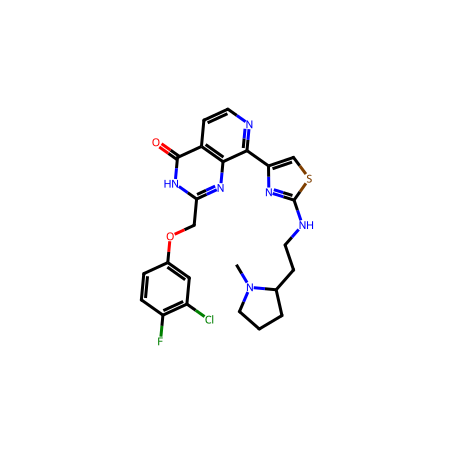 CN1CCCC1CCNc1nc(-c2nccc3c(=O)[nH]c(COc4ccc(F)c(Cl)c4)nc23)cs1